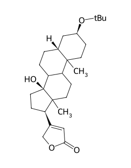 CC(C)(C)O[C@H]1CCC2(C)C3CCC4(C)[C@@H](C5=CC(=O)OC5)CC[C@]4(O)C3CC[C@@H]2C1